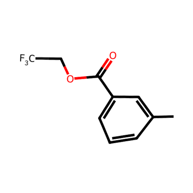 Cc1cccc(C(=O)OCC(F)(F)F)c1